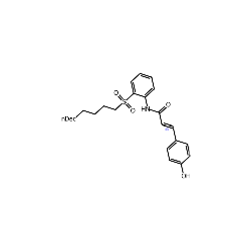 CCCCCCCCCCCCCCS(=O)(=O)c1ccccc1NC(=O)/C=C/c1ccc(O)cc1